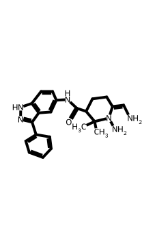 CC1(C)C(C(=O)Nc2ccc3[nH]nc(-c4ccccc4)c3c2)CC/C(=C/N)N1N